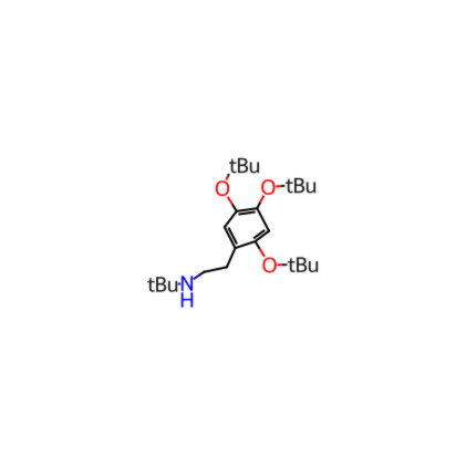 CC(C)(C)NCCc1cc(OC(C)(C)C)c(OC(C)(C)C)cc1OC(C)(C)C